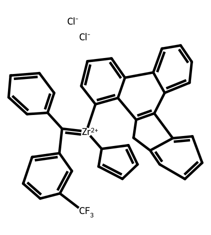 FC(F)(F)c1cccc([C](c2ccccc2)=[Zr+2]([c]2cccc3c2c2c(c4ccccc43)-c3ccccc3C2)[CH]2C=CC=C2)c1.[Cl-].[Cl-]